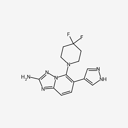 Nc1nc2ccc(-c3cn[nH]c3)c(N3CCC(F)(F)CC3)n2n1